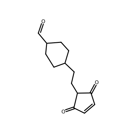 O=CC1CCC(CCC2C(=O)C=CC2=O)CC1